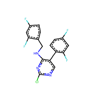 Fc1ccc(CNc2nc(Cl)ncc2-c2ccc(F)cc2F)c(F)c1